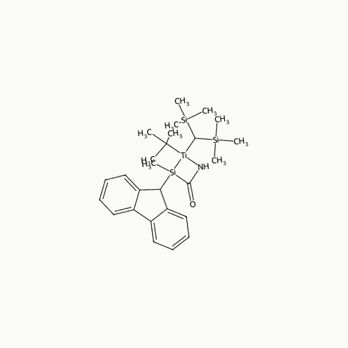 C[C](C)(C)[Ti]1([CH]([Si](C)(C)C)[Si](C)(C)C)[NH]C(=O)[Si]1(C)C1c2ccccc2-c2ccccc21